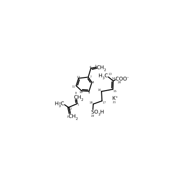 C=CC(=C)C.C=Cc1ccccc1.CC(=CCCCS(=O)(=O)O)C(=O)[O-].[K+]